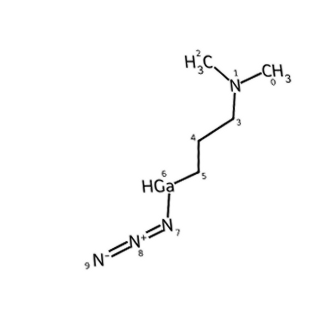 CN(C)CC[CH2][GaH][N]=[N+]=[N-]